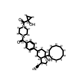 N#CC1CNC2(C3CCCCCCCCC3)CCC(c3ccc(C(=O)N4CCN(C(=O)C5(O)CC5)CC4)cc3)CC12